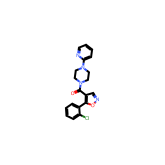 O=C(c1cnoc1-c1ccccc1Cl)N1CCN(c2ccccn2)CC1